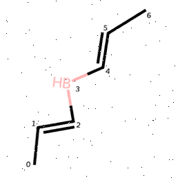 CC=CBC=CC